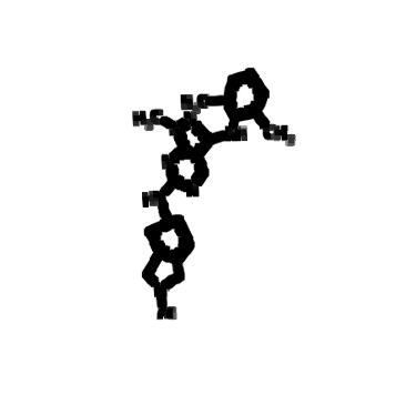 CC(=O)N1Cc2ccc(Nc3ncc4c(Nc5c(C)cccc5C)nn(C)c4n3)cc2C1